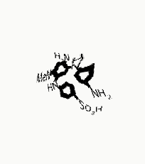 CNc1cc(N)c(Nc2ccc(N)cc2)cc1Nc1ccc(S(=O)(=O)O)cc1